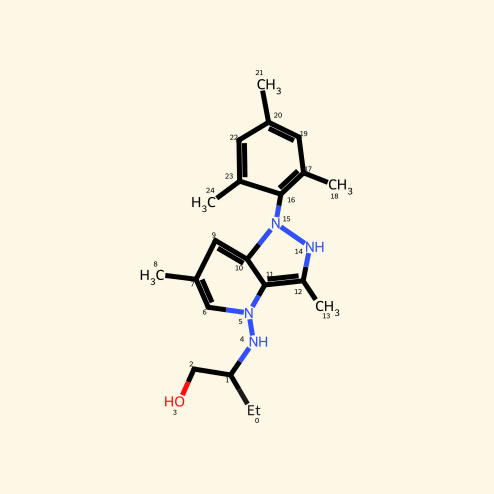 CCC(CO)NN1C=C(C)C=C2C1=C(C)NN2c1c(C)cc(C)cc1C